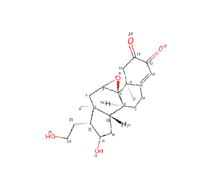 C[C@]12CC3O[C@@]34[C@@H](CCC3=CC(=O)C(=O)C[C@@]34C)[C@@H]1CC(O)[C@@H]2CCO